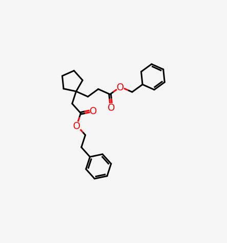 O=C(CCC1(CC(=O)OCCc2ccccc2)CCCC1)OCC1C=CC=CC1